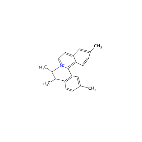 Cc1ccc2c(c1)-c1c3ccc(C)cc3cc[n+]1C(C)C2C